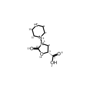 O=C(O)[C@H]1CN(N2CCSCC2)C(=O)O1